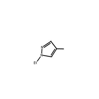 CCn1[c]c(C)[c]n1